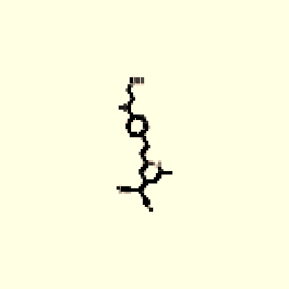 CC1=CC(=C(C#N)C#N)C=C(/C=C/c2ccc(NCCO)cc2)O1